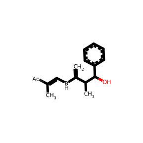 C=C(B/C=C(\C)C(C)=O)C(C)C(O)c1ccccc1